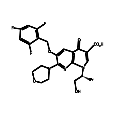 CC(C)[C@H](CO)n1cc(C(=O)O)c(=O)c2cc(OCc3c(F)cc(F)cc3F)c(N3CCOCC3)nc21